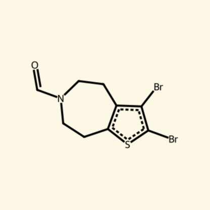 O=CN1CCc2sc(Br)c(Br)c2CC1